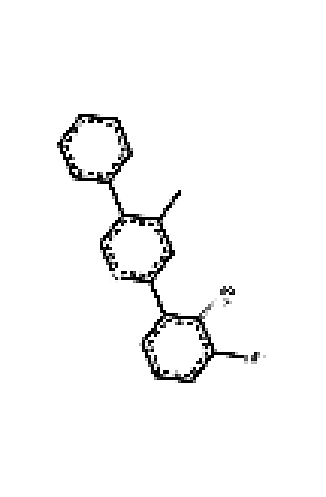 CCCc1cccc(-c2cc(C)c(-c3ccccc3)cn2)c1[C@@H](C)CC